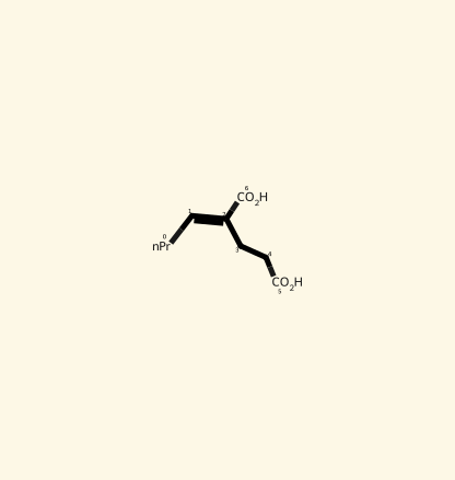 CCCC=C(CCC(=O)O)C(=O)O